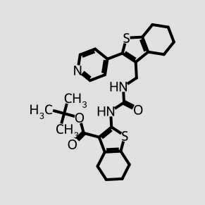 CC(C)(C)OC(=O)c1c(NC(=O)NCc2c(-c3ccncc3)sc3c2CCCC3)sc2c1CCCC2